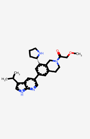 COCC(=O)N1CCc2cc(-c3cnc4[nH]cc(C(C)C)c4c3)cc([C@@H]3CCCN3)c2C1